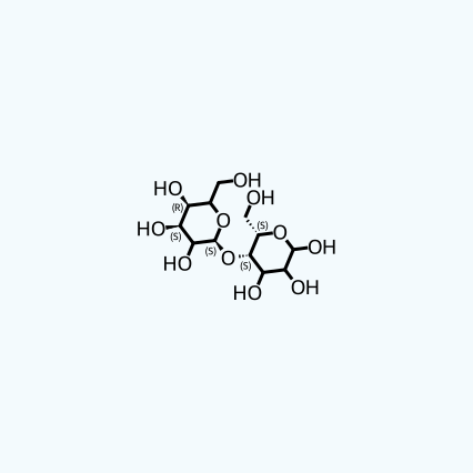 OCC1O[C@@H](O[C@H]2C(O)C(O)C(O)O[C@H]2CO)C(O)[C@@H](O)[C@H]1O